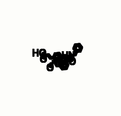 O=CNc1c(CCC(=O)O)cccc1-c1ccccc1NC(=O)NCc1ccccc1